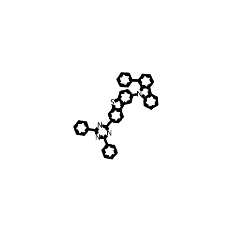 c1ccc(-c2nc(-c3ccccc3)nc(-c3ccc4c(c3)sc3ccc(-n5c6ccccc6c6cccc(-c7ccccc7)c65)cc34)n2)cc1